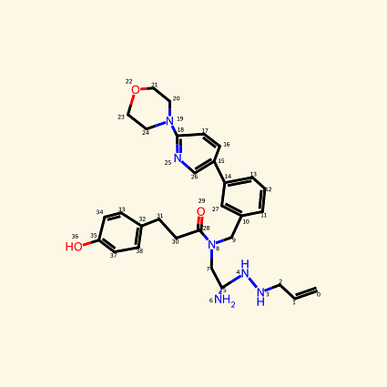 C=CCNN[C@H](N)CN(Cc1cccc(-c2ccc(N3CCOCC3)nc2)c1)C(=O)CCc1ccc(O)cc1